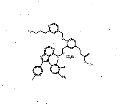 CCOC(=O)[C@@H](Cc1cc(OCC(=O)OC(C)(C)C)ccc1OCc1ccnc(OCCC(F)(F)F)n1)Oc1ncnc2sc(-c3ccc(F)cc3)c(-c3ccc(N)c(Cl)c3C)c12